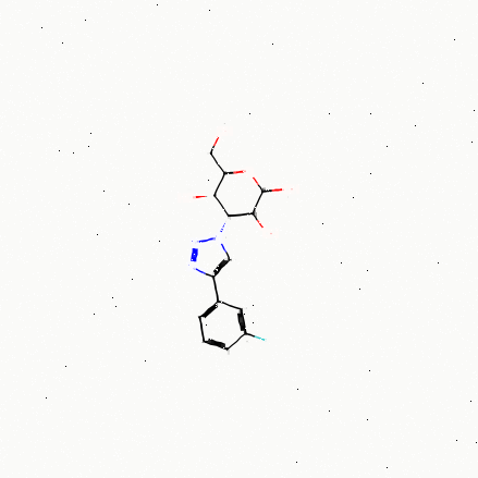 OCC1OC(O)C(O)[C@@H](n2cc(-c3cccc(F)c3)nn2)[C@H]1O